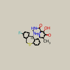 Cc1cn2c(c(O)c1=O)C(=O)NCN2[C@H]1c2ccc(F)cc2CSc2ccccc21